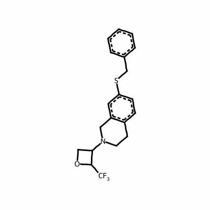 FC(F)(F)C1OCC1N1CCc2ccc(SCc3ccccc3)cc2C1